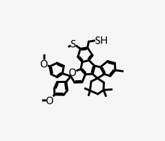 COc1ccc(C2(c3ccc(OC)cc3)C=Cc3c4c(c5cc(CS)c(SC)cc5c3O2)-c2ccc(C)cc2C42CC(C)(C)CC(C)(C)C2)cc1